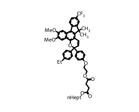 CCCCCCCOC(=O)CCC(=O)OCCOc1ccc(C2(c3ccc(CC)cc3)C=Cc3c4c(c5cc(OC)c(OC)cc5c3O2)-c2ccc(C(F)(F)F)cc2C4(C)C)cc1